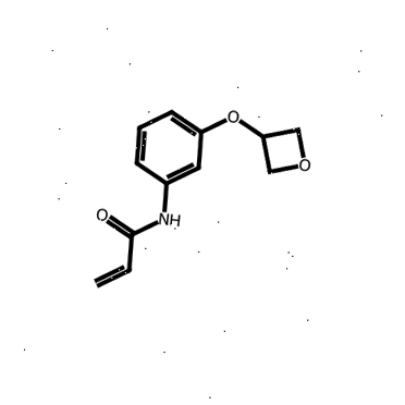 C=CC(=O)Nc1cccc(OC2COC2)c1